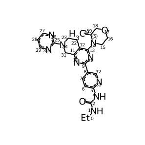 CCNC(=O)Nc1ccc(-c2nc3c(c(N4CCOC[C@@H]4C)n2)CCN(c2ncccn2)C3)cn1